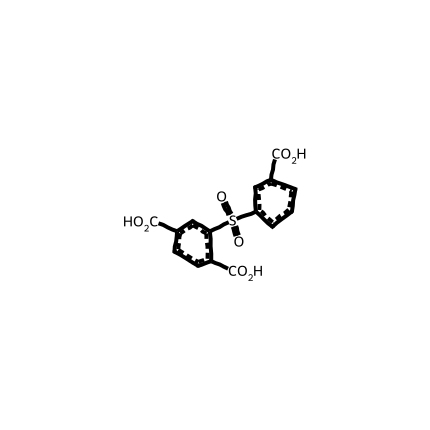 O=C(O)c1cccc(S(=O)(=O)c2cc(C(=O)O)ccc2C(=O)O)c1